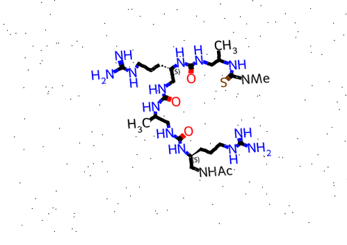 CNC(=S)NC(C)CNC(=O)N[C@@H](CCCNC(=N)N)CNC(=O)NC(C)CNC(=O)N[C@@H](CCCNC(=N)N)CNC(C)=O